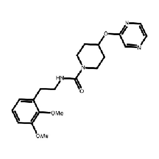 COc1cccc(CCNC(=O)N2CCC(Oc3cnccn3)CC2)c1OC